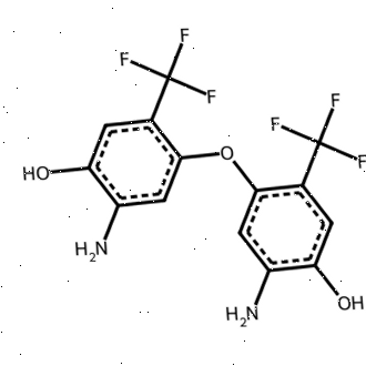 Nc1cc(Oc2cc(N)c(O)cc2C(F)(F)F)c(C(F)(F)F)cc1O